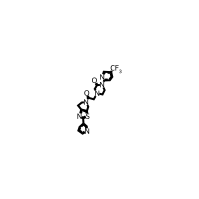 O=C(CN1CCN(c2ccc(C(F)(F)F)cn2)C(=O)C1)N1CCc2nc(-c3cccnc3)sc2C1